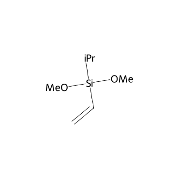 C=C[Si](OC)(OC)C(C)C